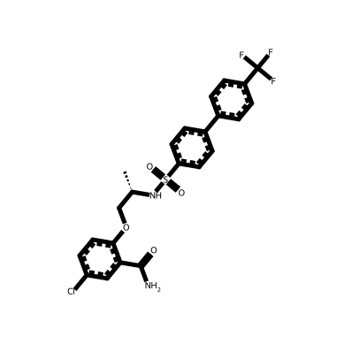 C[C@@H](COc1ccc(Cl)cc1C(N)=O)NS(=O)(=O)c1ccc(-c2ccc(C(F)(F)F)cc2)cc1